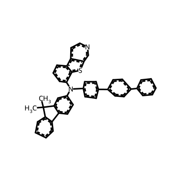 CC1(C)c2ccccc2-c2ccc(N(c3ccc(-c4ccc(-c5ccccc5)cc4)cc3)c3cccc4c3sc3cnccc34)cc21